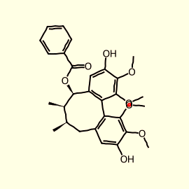 COc1c(O)cc2c(c1OC)-c1c(cc(O)c(OC)c1OC)[C@H](OC(=O)c1ccccc1)[C@H](C)[C@H](C)C2